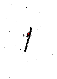 CCCCCCCCCCCCCCCCCC(C(F)C(F)CCCCCF)S(=O)(=O)O